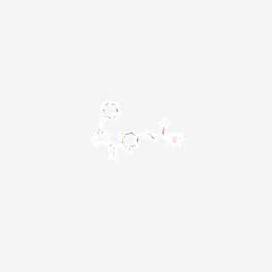 O=C(O)/C=C/c1cnc(N[C@@H]2CCN(Cc3ccccc3)C2)nc1